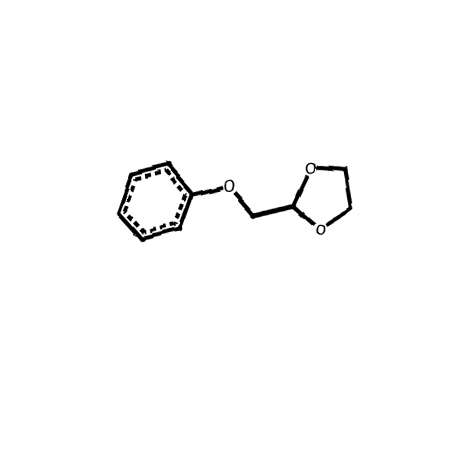 c1ccc(OCC2OCCO2)cc1